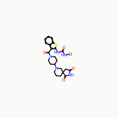 CCNC(=O)Nc1sc2ccccc2c1C(=O)N1CCC(N2CCCC3(CC(=O)NC3=O)C2)CC1